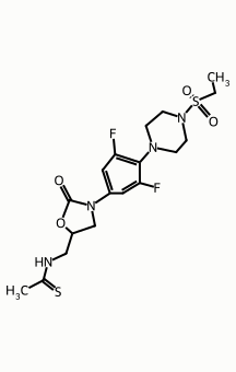 CCS(=O)(=O)N1CCN(c2c(F)cc(N3CC(CNC(C)=S)OC3=O)cc2F)CC1